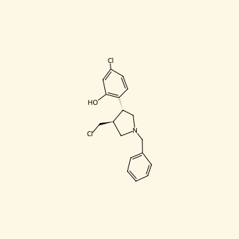 Oc1cc(Cl)ccc1[C@@H]1CN(Cc2ccccc2)C[C@H]1CCl